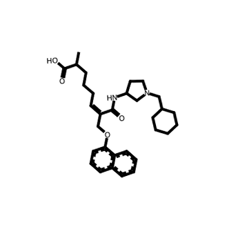 CC(CCCC=C(COc1cccc2ccccc12)C(=O)NC1CCN(CC2CCCCC2)C1)C(=O)O